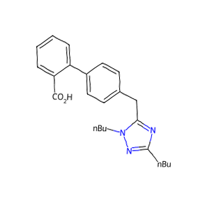 CCCCc1nc(Cc2ccc(-c3ccccc3C(=O)O)cc2)n(CCCC)n1